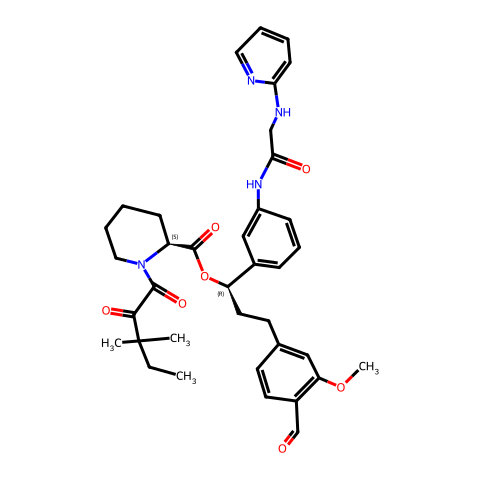 CCC(C)(C)C(=O)C(=O)N1CCCC[C@H]1C(=O)O[C@H](CCc1ccc(C=O)c(OC)c1)c1cccc(NC(=O)CNc2ccccn2)c1